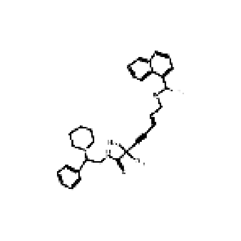 C[C@@H](NC/C=C/C#CC(C)(C)C(=O)NCC(c1ccccc1)N1CCCCC1)c1cccc2ccccc12